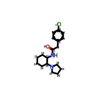 O=C(Cc1ccc(Cl)cc1)NC1CCCCC1N1CCCC1